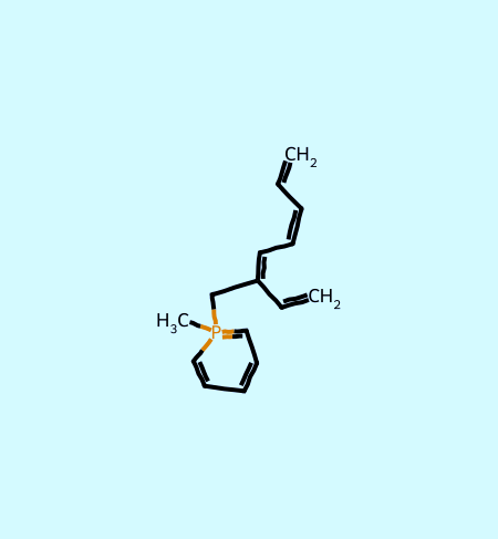 C=C/C=C\C=C(/C=C)CP1(C)=CC=CC=C1